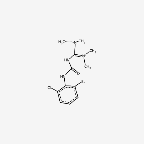 CCc1cccc(Cl)c1NC(=O)NC(N(C)C)=[N+](C)C